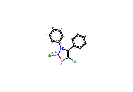 BrC1=C(c2ccccc2)N(c2ccccc2)N(Br)O1